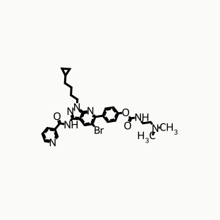 CN(C)CCNC(=O)Oc1ccc(-c2nc3c(cc2Br)c(NC(=O)c2cccnc2)nn3CCCCC2CC2)cc1